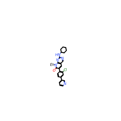 CCn1c(=O)c(-c2ccc(-c3cccnc3)cc2Cl)cc2cnc(NC3CCCCC3)nc21